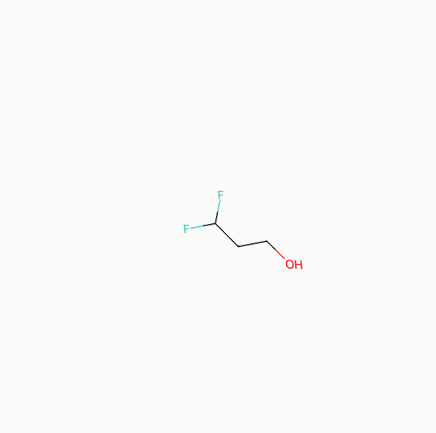 OCCC(F)F